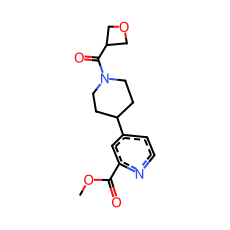 COC(=O)c1cc(C2CCN(C(=O)C3COC3)CC2)ccn1